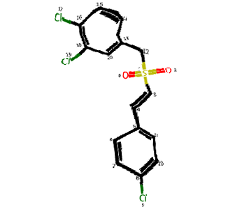 O=S(=O)(C=Cc1ccc(Cl)cc1)Cc1ccc(Cl)c(Cl)c1